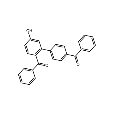 O=C(c1ccccc1)c1ccc(-c2cc(O)ccc2C(=O)c2ccccc2)cc1